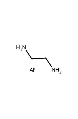 NCCN.[Al]